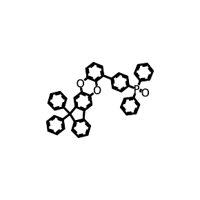 O=P(c1ccccc1)(c1ccccc1)c1ccc(-c2cccc3c2Oc2cc4c(cc2O3)C(c2ccccc2)(c2ccccc2)c2ccccc2-4)cc1